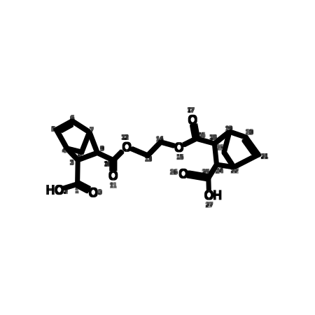 O=C(O)C1C2C=CC(C2)C1C(=O)OCCOC(=O)C1C2C=CC(C2)C1C(=O)O